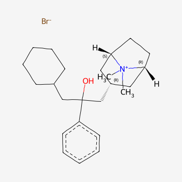 C[N+]1(C)[C@@H]2CC[C@H]1C[C@@H](CC(O)(CC1CCCCC1)c1ccccc1)C2.[Br-]